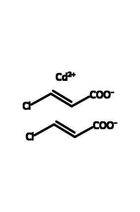 O=C([O-])C=CCl.O=C([O-])C=CCl.[Cd+2]